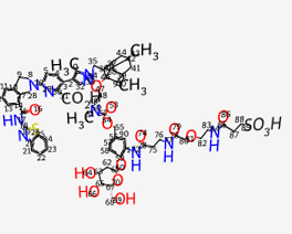 Cc1c(-c2ccc(N3CCc4cccc(C(=O)Nc5nc6ccccc6s5)c4C3)nc2C(=O)O)cnn1CC1C2CC3(C)CC(C)(C2)CC1(OCCN(C)C(=O)OCc1ccc(O[C@H]2C[C@@H](O)[C@@H](O)[C@@H](CO)O2)c(NC(=O)CCNC(=O)COCCNC(=O)CCS(=O)(=O)O)c1)C3